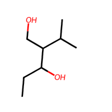 CCC(O)C(CO)C(C)C